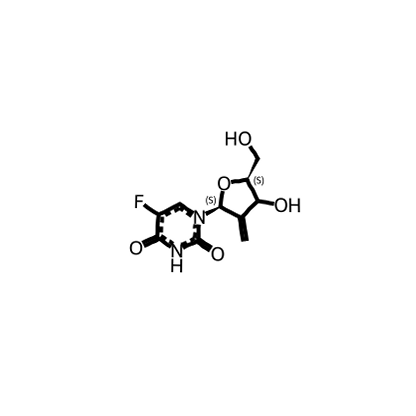 C=C1C(O)[C@H](CO)O[C@@H]1n1cc(F)c(=O)[nH]c1=O